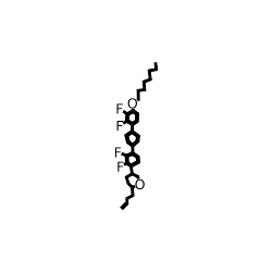 C=CCCC1CCC(c2ccc(-c3ccc(-c4ccc(OCCCCCCCC)c(F)c4F)cc3)c(F)c2F)CO1